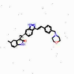 CC1C=CC2=C(C1)[C@]1(C[C@H]1c1ccc3c(/C=C/c4ccc(CN5CCOCC5)cc4)n[nH]c3c1)C(=O)N2